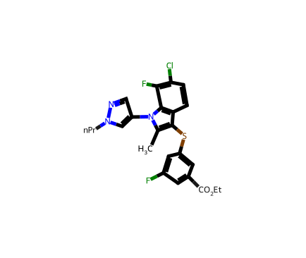 CCCn1cc(-n2c(C)c(Sc3cc(F)cc(C(=O)OCC)c3)c3ccc(Cl)c(F)c32)cn1